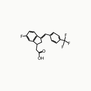 O=C(O)CC1C/C(=C\c2ccc(C(F)(F)F)cc2)c2ccc(F)cc21